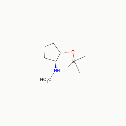 C[Si](C)(C)O[C@H]1CCC[C@@H]1NC(=O)O